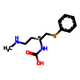 CNCC[C@H](CSc1ccccc1)NC(=O)O